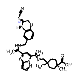 C=C(NCc1ccc2c(c1)N/C(=N/C#N)CO2)c1cc(C(=C)NCC2(C)CCC(C)(C(=O)O)CC2)n2nccc2n1